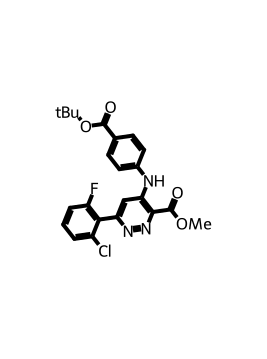 COC(=O)c1nnc(-c2c(F)cccc2Cl)cc1Nc1ccc(C(=O)OC(C)(C)C)cc1